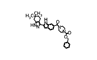 CC1(C)CCc2c(-c3cc4ccc(C(=O)N5CCN(C(=O)OCc6ccccc6)CC5)cc4[nH]3)n[nH]c2C1